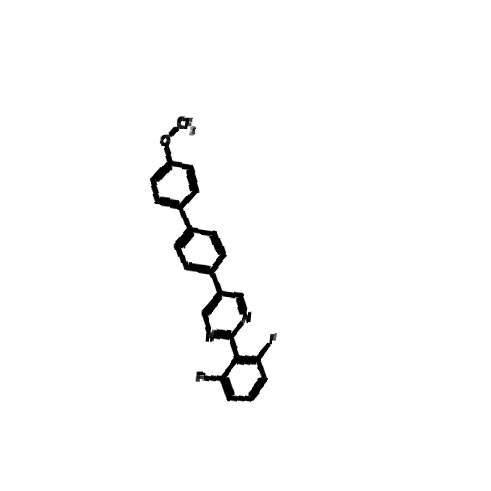 Fc1cccc(F)c1-c1ncc(-c2ccc(-c3ccc(OC(F)(F)F)cc3)cc2)cn1